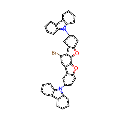 Brc1cc2c3cc(-n4c5ccccc5c5ccccc54)ccc3oc2c2oc3ccc(-n4c5ccccc5c5ccccc54)cc3c12